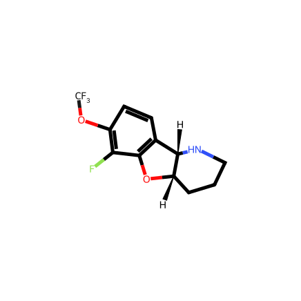 Fc1c(OC(F)(F)F)ccc2c1O[C@H]1CCCN[C@@H]21